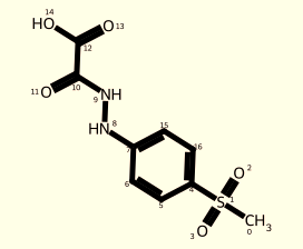 CS(=O)(=O)c1ccc(NNC(=O)C(=O)O)cc1